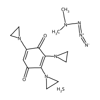 CN(C)N=[N+]=[N-].O=C1C=C(N2CC2)C(=O)C(N2CC2)=C1N1CC1.S